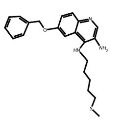 CSCCCCCNc1c(N)cnc2ccc(OCc3ccccc3)cc12